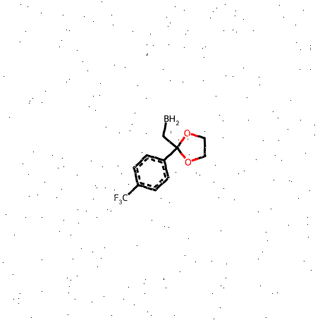 BCC1(c2ccc(C(F)(F)F)cc2)OCCO1